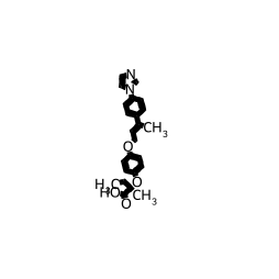 CCC(C)(Oc1ccc(OC/C=C(\C)c2ccc(-n3ccnc3)cc2)cc1)C(=O)O